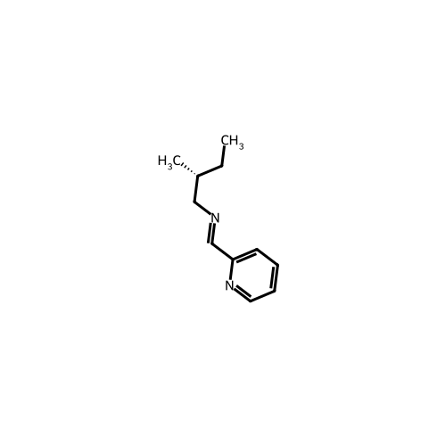 CC[C@@H](C)C/N=C/c1ccccn1